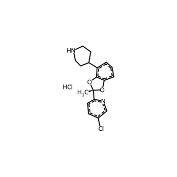 C[C@]1(c2ccc(Cl)cn2)Oc2cccc(C3CCNCC3)c2O1.Cl